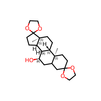 C[C@]12CCC3(CC1C[C@@H](O)[C@@H]1[C@@H]2CC[C@@]2(C)[C@H]1CCC21OCCO1)OCCO3